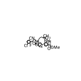 COC(=O)Nc1ccc2c(c1)NC(=O)[C@H](C)CCC[C@H](N1CC[C@H](c3c(C#N)ccc(Cl)c3F)OC1=O)c1ccnc-2c1